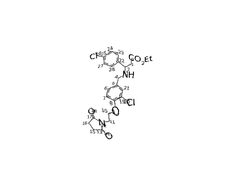 CCOC(=O)CC(NCc1ccc(OCCN2C(=O)CCC2=O)c(Cl)c1)c1ccc(Cl)cc1